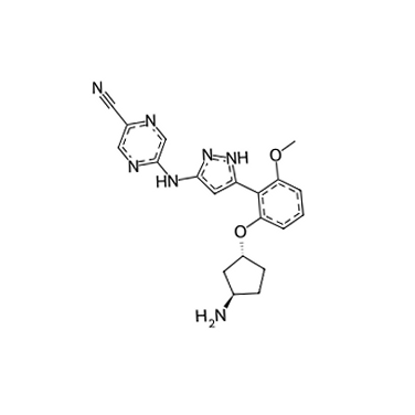 COc1cccc(O[C@@H]2CC[C@@H](N)C2)c1-c1cc(Nc2cnc(C#N)cn2)n[nH]1